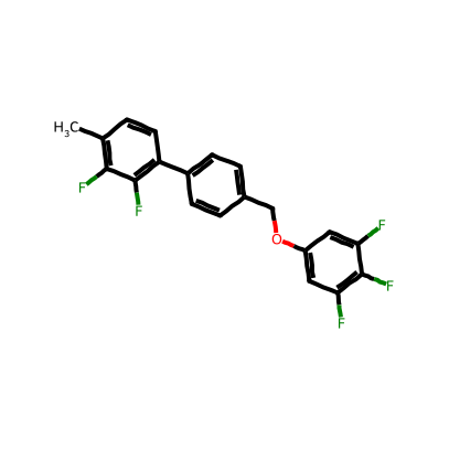 Cc1ccc(-c2ccc(COc3cc(F)c(F)c(F)c3)cc2)c(F)c1F